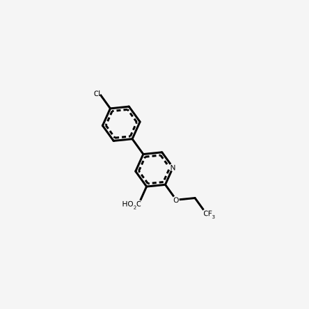 O=C(O)c1cc(-c2ccc(Cl)cc2)cnc1OCC(F)(F)F